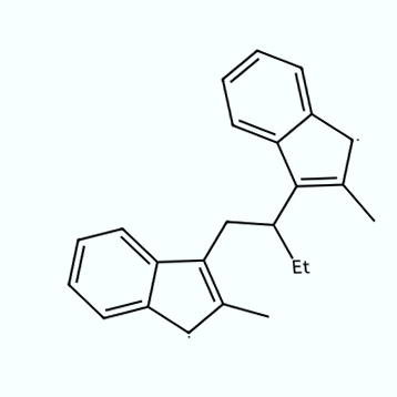 CCC(CC1=C(C)[CH]c2ccccc21)C1=C(C)[CH]c2ccccc21